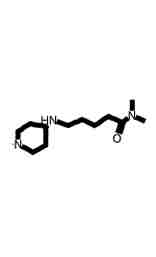 CN(C)C(=O)CCCCNC1CC[N]CC1